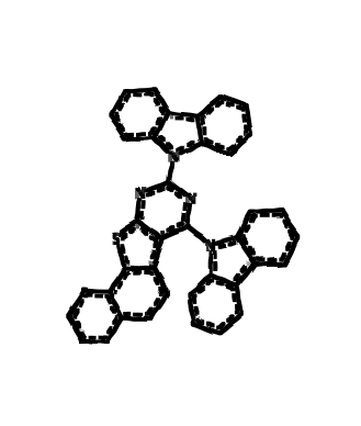 c1ccc2c(c1)ccc1c2sc2nc(-n3c4ccccc4c4ccccc43)nc(-n3c4ccccc4c4ccccc43)c21